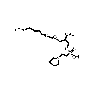 CCCCCCCCCCCCCCCCOCC(COP(=O)(O)CCN1CCCC1)OC(C)=O